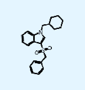 O=S(=O)(Cc1ccccc1)c1cn(CC2CCCCC2)c2ccccc12